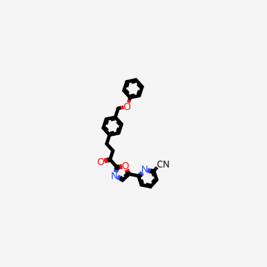 N#Cc1cccc(-c2cnc(C(=O)CCc3ccc(COc4ccccc4)cc3)o2)n1